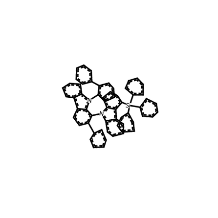 c1ccc(-c2ccccc2-n2c3ccccc3c3ccc(-c4ccccc4)c(-n4c5ccccc5c5c([Si](c6ccccc6)(c6ccccc6)c6ccccc6)cccc54)c32)cc1